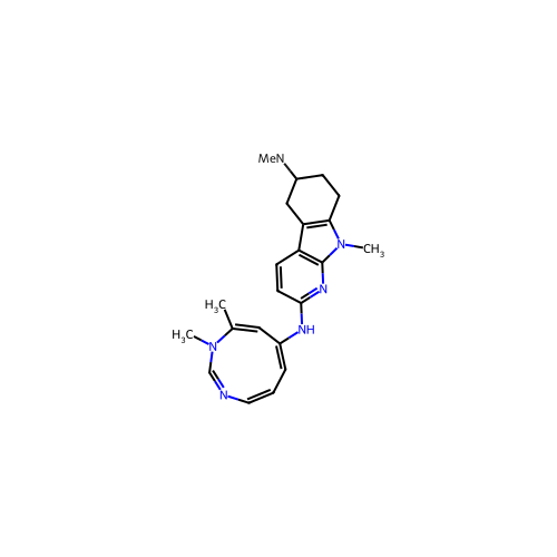 CNC1CCc2c(c3ccc(Nc4cccncn(C)c(C)c4)nc3n2C)C1